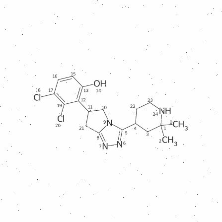 CC1(C)CC(c2nnc3n2CC(c2c(O)ccc(Cl)c2Cl)C3)CCN1